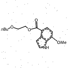 CCCCOCCOC(=O)c1ccc(OC)c2[nH]ccc12